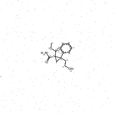 COC(=O)C1(C(N)=O)CC1(CCO)c1ccccc1